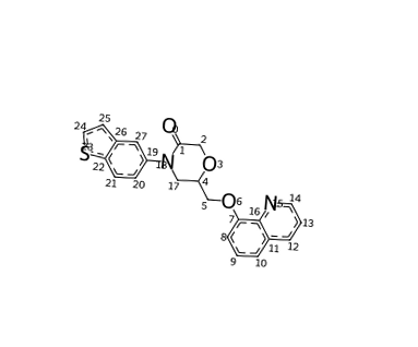 O=C1COC(COc2cccc3cccnc23)CN1c1ccc2sccc2c1